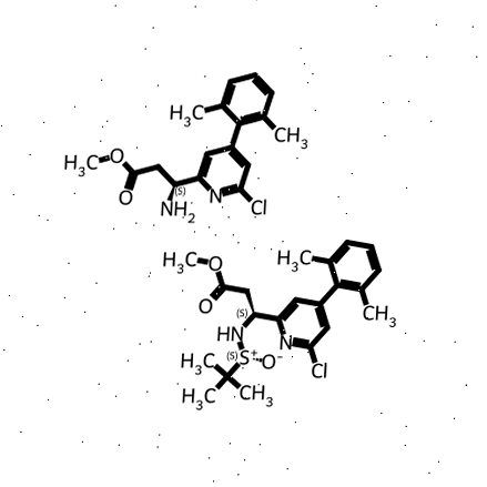 COC(=O)C[C@H](N)c1cc(-c2c(C)cccc2C)cc(Cl)n1.COC(=O)C[C@H](N[S@+]([O-])C(C)(C)C)c1cc(-c2c(C)cccc2C)cc(Cl)n1